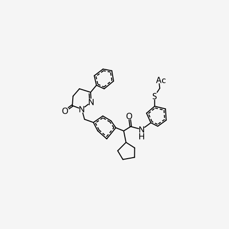 CC(=O)CSc1cccc(NC(=O)C(c2ccc(CN3N=C(c4ccccc4)CCC3=O)cc2)C2CCCC2)c1